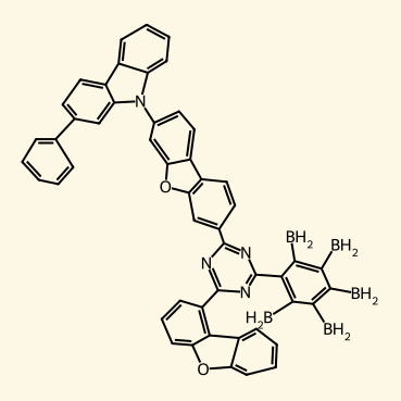 Bc1c(B)c(B)c(-c2nc(-c3ccc4c(c3)oc3cc(-n5c6ccccc6c6ccc(-c7ccccc7)cc65)ccc34)nc(-c3cccc4oc5ccccc5c34)n2)c(B)c1B